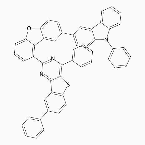 c1ccc(-c2ccc3sc4c(-c5ccccc5)nc(-c5cccc6oc7ccc(-c8ccc9c(c8)c8ccccc8n9-c8ccccc8)cc7c56)nc4c3c2)cc1